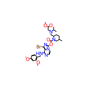 COC(=O)CN(CC1CCC(C)CN1C(=O)Oc1nc(Br)c2c(NCc3ccc(OC)cc3OC)nccn12)C(C)C